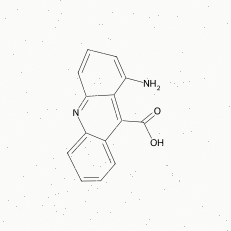 Nc1cccc2nc3ccccc3c(C(=O)O)c12